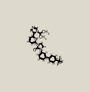 CC(C)n1cnnc1-c1cccc(N2CCN(c3cccc(-c4ccc(C(F)(F)F)cc4)c3)C2=O)n1